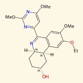 CCOc1cc2c(cc1OC)C(c1cc(OC)nc(OC)n1)=N[C@@H]1CC[C@@H](O)C[C@H]21